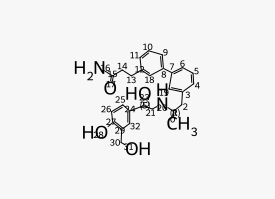 C[C@H](Cc1cccc(-c2cccc(CCC(N)=O)c2)c1)NC[C@@H](O)c1ccc(O)c(CO)c1